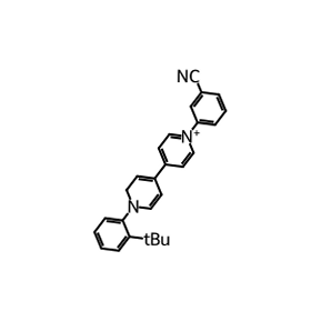 CC(C)(C)c1ccccc1N1C=CC(c2cc[n+](-c3cccc(C#N)c3)cc2)=CC1